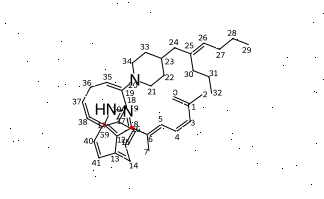 C=C(C)/C=C\C=C(/C)c1n[nH]cc1C1=C\C=C\C2=C\C(N3CCC(C/C(=C/CCC)CCC)CC3)=C/CC=C=C2/C=C\1